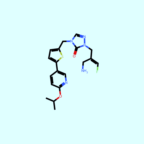 CC(C)Oc1ccc(-c2ccc(Cn3cnn(C/C(=C/F)CN)c3=O)s2)cn1